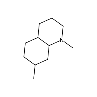 CC1CCC2CCCN(C)C2C1